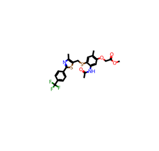 COC(=O)COc1cc(NC(C)=O)c(SCc2sc(-c3ccc(C(F)(F)F)cc3)nc2C)cc1C